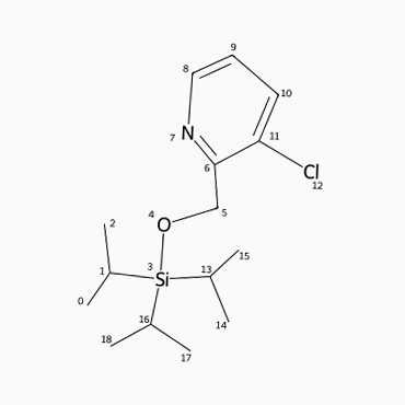 CC(C)[Si](OCc1ncccc1Cl)(C(C)C)C(C)C